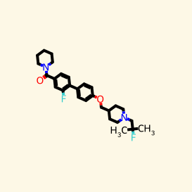 CC(C)(F)CN1CCC(COc2ccc(-c3ccc(C(=O)N4CCCCC4)cc3F)cc2)CC1